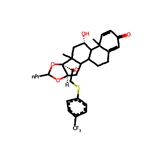 CCCC1O[C@@H]2CC3C4CCC5=CC(=O)C=CC5(C)C4[C@@H](O)CC3(C)[C@]2(C(=O)CSc2ccc(C(F)(F)F)cc2)O1